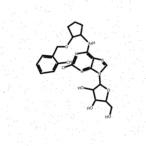 Cc1ccccc1COC1CCCC1[AsH]c1nc(Cl)nc2c1ncn2C1OC(CO)C(O)C1O